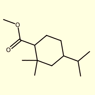 COC(=O)C1CCC(C(C)C)CC1(C)C